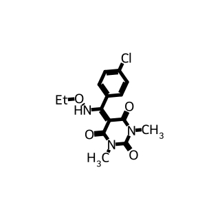 CCONC(=C1C(=O)N(C)C(=O)N(C)C1=O)c1ccc(Cl)cc1